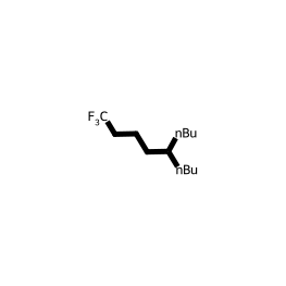 CCCCC(CCCC)CCCC(F)(F)F